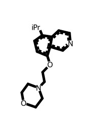 CC(C)c1ccc(OCCN2CCOCC2)c2cnccc12